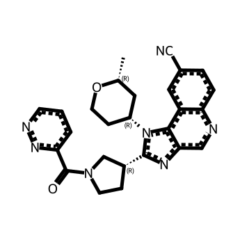 C[C@@H]1C[C@H](n2c([C@@H]3CCN(C(=O)c4cccnn4)C3)nc3cnc4ccc(C#N)cc4c32)CCO1